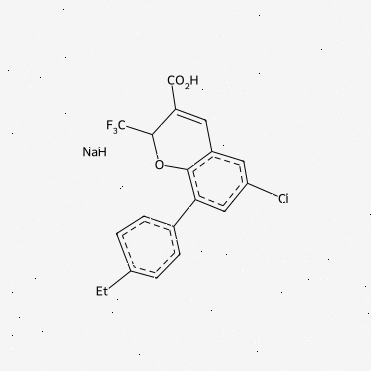 CCc1ccc(-c2cc(Cl)cc3c2OC(C(F)(F)F)C(C(=O)O)=C3)cc1.[NaH]